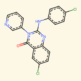 O=c1c2cc(Cl)ccc2nc(Nc2ccc(Cl)cc2)n1-c1cccnc1